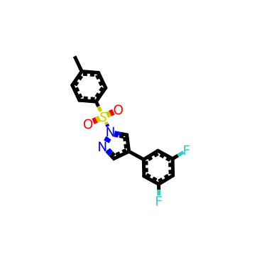 Cc1ccc(S(=O)(=O)n2cc(-c3cc(F)cc(F)c3)cn2)cc1